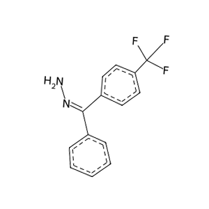 NN=C(c1ccccc1)c1ccc(C(F)(F)F)cc1